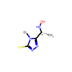 CCn1c(S)nnc1[C@@H](C)NO